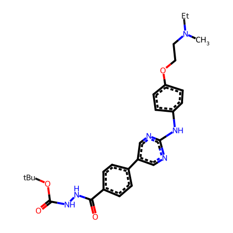 CCN(C)CCOc1ccc(Nc2ncc(-c3ccc(C(=O)NNC(=O)OC(C)(C)C)cc3)cn2)cc1